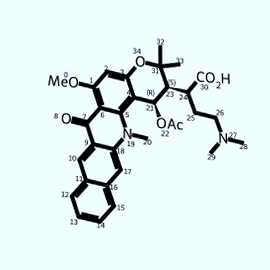 COc1cc2c(c3c1c(=O)c1cc4ccccc4cc1n3C)[C@H](OC(C)=O)[C@H](C(CCN(C)C)C(=O)O)C(C)(C)O2